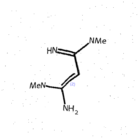 CNC(=N)/C=C(/N)NC